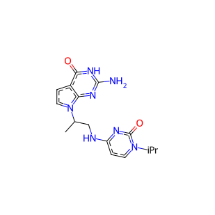 CC(C)n1ccc(NCC(C)n2ccc3c(=O)[nH]c(N)nc32)nc1=O